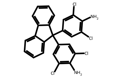 Nc1c(Cl)cc(C2(c3cc(Cl)c(N)c(Cl)c3)c3ccccc3-c3ccccc32)cc1Cl